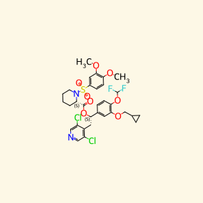 COc1ccc(S(=O)(=O)N2CCCC[C@H]2C(=O)O[C@@H](Cc2c(Cl)cncc2Cl)c2ccc(OC(F)F)c(OCC3CC3)c2)cc1OC